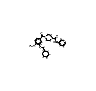 COc1ccc(C(=O)N2CCN(C(=O)Nc3cccnc3)CC2)cc1OCC1CCCCC1